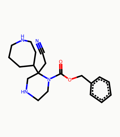 N#CCC1(C2CCCNCC2)CNCCN1C(=O)OCc1ccccc1